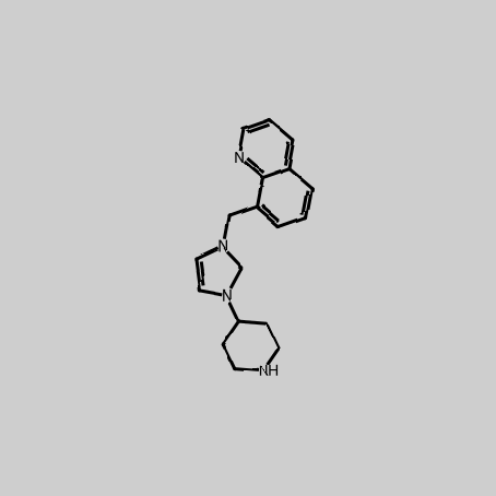 C1=CN(C2CCNCC2)CN1Cc1cccc2cccnc12